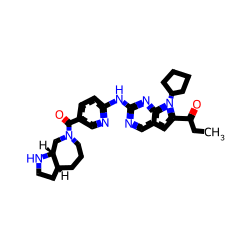 CCC(=O)c1cc2cnc(Nc3ccc(C(=O)N4CCC[C@@H]5CCN[C@@H]5C4)cn3)nc2n1C1CCCC1